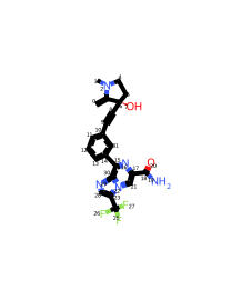 C=C1N(C)CC[C@@]1(O)C#Cc1cccc(-c2nc(C(N)=O)cn3c(C(F)(F)F)cnc23)c1